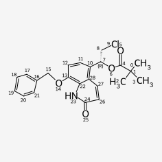 CC(C)(C)C(=O)O[C@@H](CCl)c1ccc(OCc2ccccc2)c2[nH]c(=O)ccc12